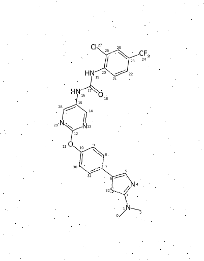 CN(C)c1ncc(-c2ccc(Oc3ncc(NC(=O)Nc4ccc(C(F)(F)F)cc4Cl)cn3)cc2)s1